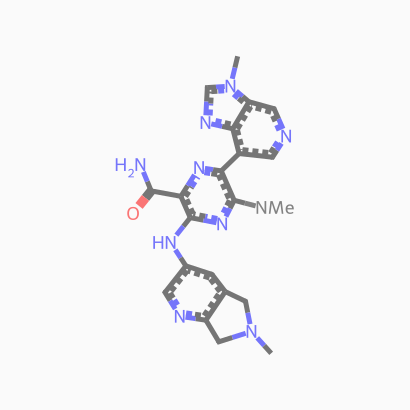 CNc1nc(Nc2cnc3c(c2)CN(C)C3)c(C(N)=O)nc1-c1cncc2c1ncn2C